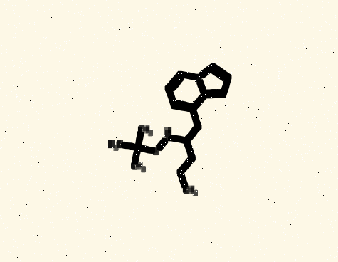 CCCC(Cc1cccn2cccc12)NSC(C)(C)C